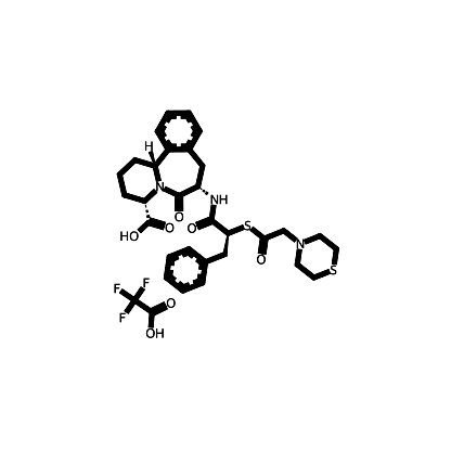 O=C(CN1CCSCC1)S[C@@H](Cc1ccccc1)C(=O)N[C@H]1Cc2ccccc2[C@H]2CCC[C@@H](C(=O)O)N2C1=O.O=C(O)C(F)(F)F